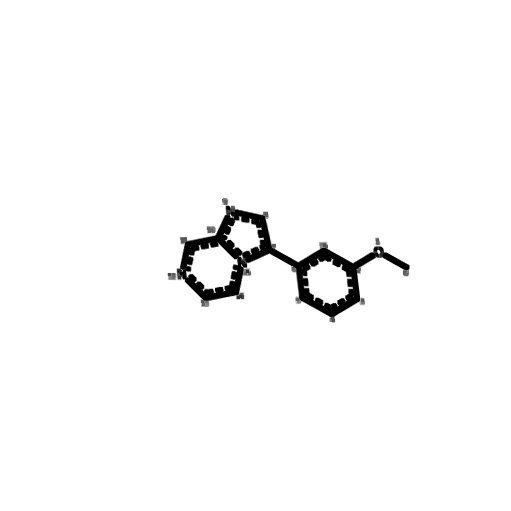 COc1cccc(-c2cnc3cnccn23)c1